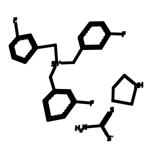 C1CCNC1.Fc1cccc([CH2][Sn+]([CH2]c2cccc(F)c2)[CH2]c2cccc(F)c2)c1.NC(=S)[S-]